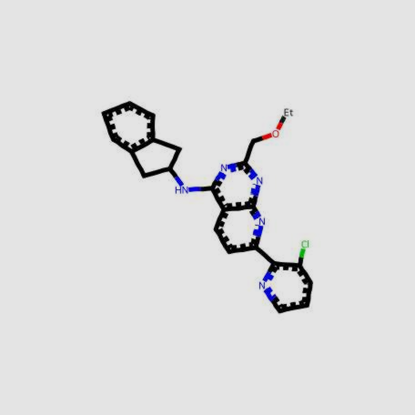 CCOCc1nc(NC2Cc3ccccc3C2)c2ccc(-c3ncccc3Cl)nc2n1